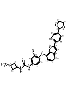 CN1CC(NC(=O)Nc2ccc(Oc3ccnc4cc(-c5ccc(C6OCCO6)cn5)sc34)c(F)c2)C1